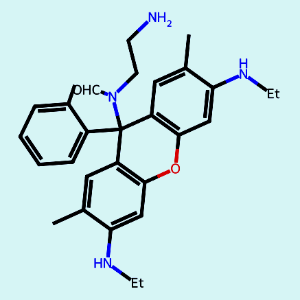 CCNc1cc2c(cc1C)C(c1ccccc1C)(N(C=O)CCN)c1cc(C)c(NCC)cc1O2